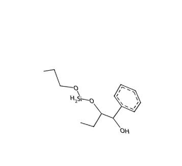 CCCO[SiH2]OC(CC)C(O)c1ccccc1